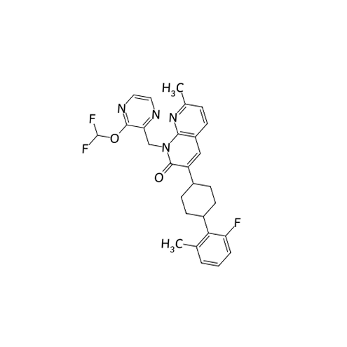 Cc1ccc2cc(C3CCC(c4c(C)cccc4F)CC3)c(=O)n(Cc3nccnc3OC(F)F)c2n1